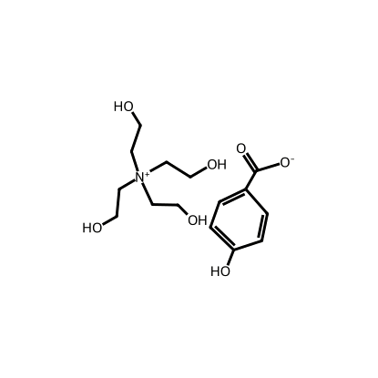 O=C([O-])c1ccc(O)cc1.OCC[N+](CCO)(CCO)CCO